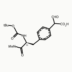 CNC(=O)[C@H](Cc1ccc(C(C=O)C(=O)O)cc1)NC(=O)OC(C)(C)C